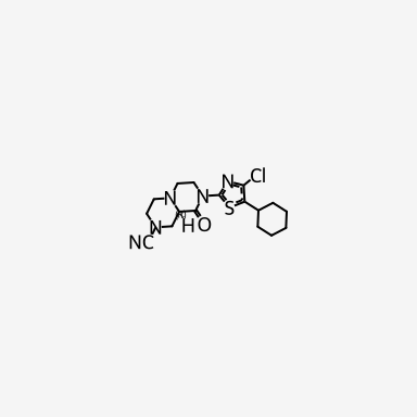 N#CN1CCN2CCN(c3nc(Cl)c(C4CCCCC4)s3)C(=O)[C@H]2C1